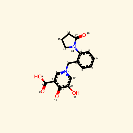 O=C(O)c1cn(Cc2ccccc2N2CCCC2=O)cc(O)c1=O